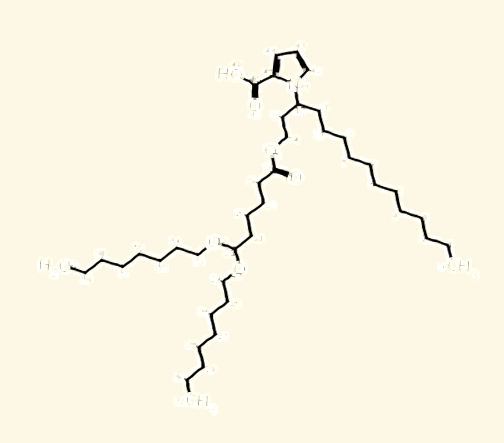 CCCCCCCCCCCCC(CCOC(=O)CCCCC(OCCCCCCCC)OCCCCCCCC)n1cccc1C(=O)O